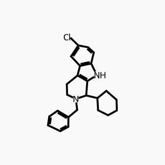 Clc1ccc2[nH]c3c(c2c1)CCN(Cc1ccccc1)C3C1CCCCC1